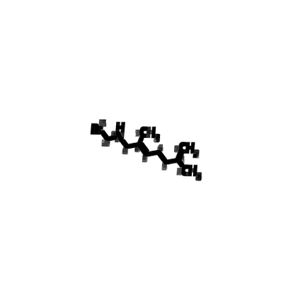 C=C(C)CC/C=C(\C)CNCBr